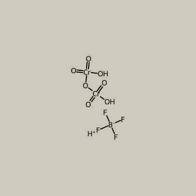 F[B-](F)(F)F.[H+].[O]=[Cr](=[O])([OH])[O][Cr](=[O])(=[O])[OH]